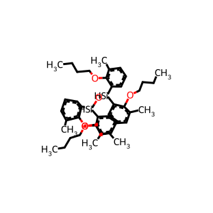 CCCCOc1c(C)cccc1[SiH](O[SiH](c1cccc(C)c1OCCCC)c1cccc(C)c1OCCCC)c1cccc(C)c1OCCCC